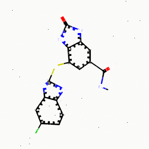 CNC(=O)c1cc(Sc2nc3cc(Cl)ccc3[nH]2)c2[nH]c(=O)[nH]c2c1